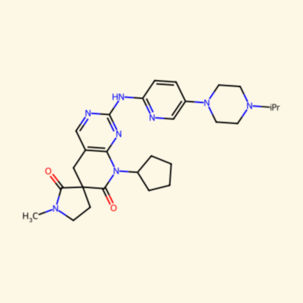 CC(C)N1CCN(c2ccc(Nc3ncc4c(n3)N(C3CCCC3)C(=O)C3(CCN(C)C3=O)C4)nc2)CC1